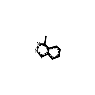 Cc1nn[c]c2ccccc12